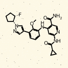 COc1c(Nc2cc(NC(=O)C3CC3)ncc2C(N)=O)cccc1-c1cnn([C@@H]2CCC[C@@H]2F)c1